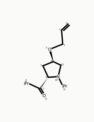 C=CCO[C@@H]1C[C@@H](C(=O)C(C)C)N(C(C)C)C1